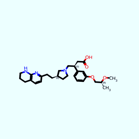 CO[C@H](C)COc1cccc([C@H](CC(=O)O)CN2CC[C@@H](CCc3ccc4c(n3)NCCC4)C2)c1